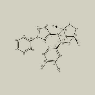 CN1[C@@H]2CC[C@@H]1[C@H](c1nc(-c3ccccn3)no1)[C@H](c1ccc(Cl)c(Cl)c1)C2